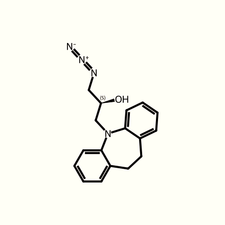 [N-]=[N+]=NC[C@@H](O)CN1c2ccccc2CCc2ccccc21